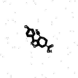 N#C[C@@H]1CC[C@H](C(=O)O)Cc2onc(-c3ccc(Cl)cc3)c21